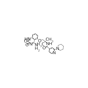 CC(C)(COc1cccc2c1C(N)=NS(=O)(=O)N2)NC(=O)c1ccnc(N2CCCCC2)c1